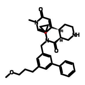 COCCCc1cc(CN(C(=O)[C@@H]2CNCC[C@H]2c2ccn(C)c(=O)c2)C2CC2)cc(-c2ccccc2)c1